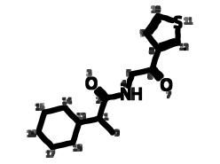 CC(C(=O)NCC(=O)c1ccsc1)C1CCCCC1